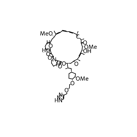 CO[C@H]1C[C@@H]2CC[C@@H](C)[C@@](O)(O2)C(=O)C(=O)N2CCCC[C@H]2C(=O)O[C@H]([C@H](C)C[C@@H]2CC[C@@H](OCCOCc3c[nH]nn3)[C@H](OC)C2)CC(=O)[C@H](C)/C=C(\C)[C@@H](O)[C@@H](OC)C(=O)[C@H](C)C[C@H](C)/C=C/C=C/C=C/1C